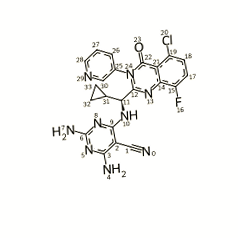 N#Cc1c(N)nc(N)nc1N[C@H](c1nc2c(F)ccc(Cl)c2c(=O)n1-c1cccnc1)C1CC1